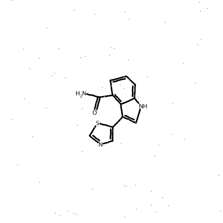 NC(=O)c1cccc2[nH]cc(-c3cncs3)c12